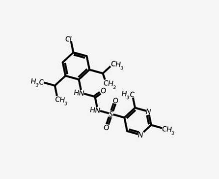 Cc1ncc(S(=O)(=O)NC(=O)Nc2c(C(C)C)cc(Cl)cc2C(C)C)c(C)n1